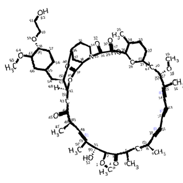 COC1C(=O)C(C)C[C@H](C)/C=C/C=C/C=C(\C)[C@@H](OC)C[C@@H]2CCC(C)C(O)(O2)C(=O)C(=O)N2CCC3CC2C(=O)O[C@@H](CC(=O)[C@H](C)/C=C(\C)[C@H]1O)[C@H]3CC1CC[C@@H](OCCO)C(OC)C1